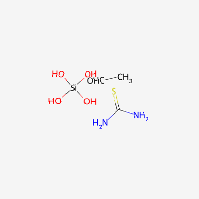 CC=O.NC(N)=S.O[Si](O)(O)O